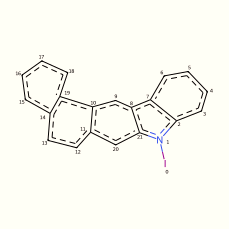 In1c2ccccc2c2cc3c(ccc4ccccc43)cc21